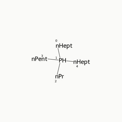 CCCCCCC[PH](CCC)(CCCCC)CCCCCCC